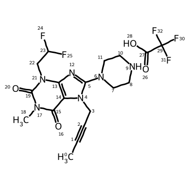 CC#CCn1c(N2CCNCC2)nc2c1c(=O)n(C)c(=O)n2CC(F)F.O=C(O)C(F)(F)F